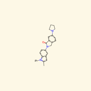 Cc1cc2cc(N3Cc4ccc(N5CCCC5)cc4C3=O)ccc2n1C(C)C